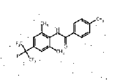 Cc1ccc(C(=O)Nc2c(C)cc(C(F)(C(F)(F)F)C(F)(F)F)cc2C)cc1